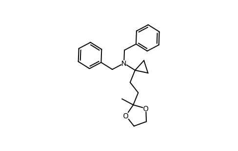 CC1(CCC2(N(Cc3ccccc3)Cc3ccccc3)CC2)OCCO1